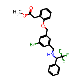 COC(=O)Cc1ccccc1OCc1cc(Br)cc(CNC(c2ccccc2)C(F)(F)F)c1